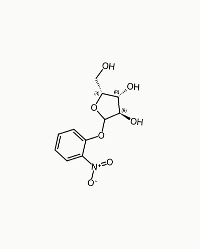 O=[N+]([O-])c1ccccc1OC1O[C@H](CO)[C@H](O)[C@H]1O